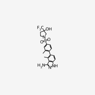 Cc1cc(S(=O)(=O)N2CCC(O)(C(F)(F)F)C2)ccc1-c1ccc2[nH]nc(N)c2c1C